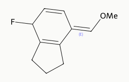 CO/C=C1\C=CC(F)C2=C1CCC2